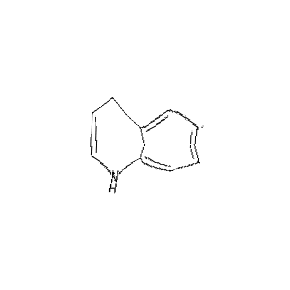 [c]1ccc2c(c1)CC=CN2